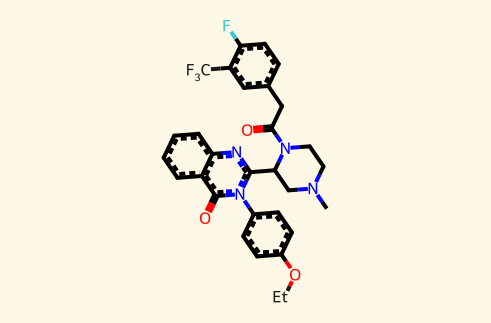 CCOc1ccc(-n2c(C3CN(C)CCN3C(=O)Cc3ccc(F)c(C(F)(F)F)c3)nc3ccccc3c2=O)cc1